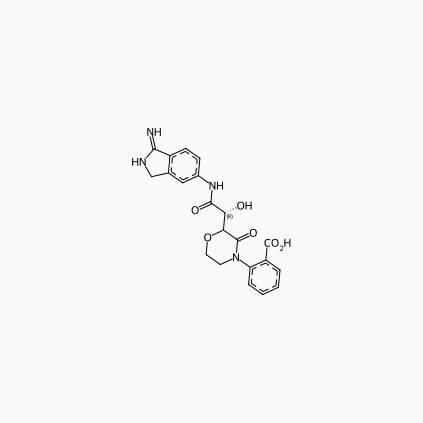 N=C1NCc2cc(NC(=O)[C@H](O)C3OCCN(c4ccccc4C(=O)O)C3=O)ccc21